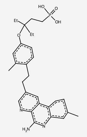 CCC(CC)(CCP(=O)(O)O)Oc1ccc(CCc2cnc3c(N)nc4cc(C)ccc4c3c2)c(C)c1